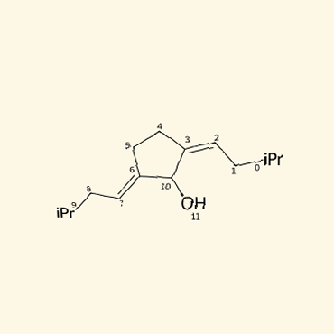 CC(C)CC=C1CCC(=CCC(C)C)C1O